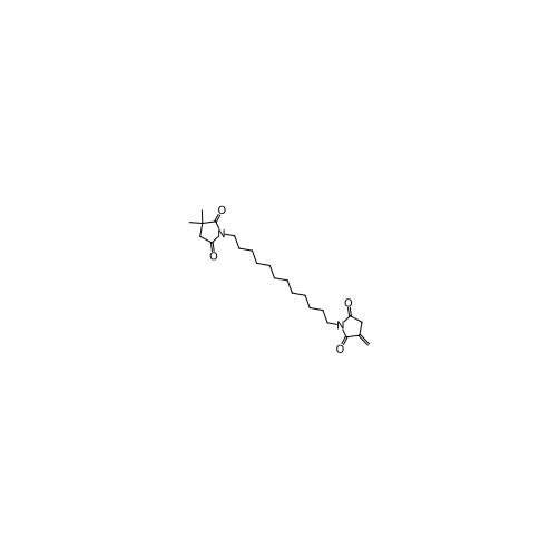 C=C1CC(=O)N(CCCCCCCCCCCCN2C(=O)CC(C)(C)C2=O)C1=O